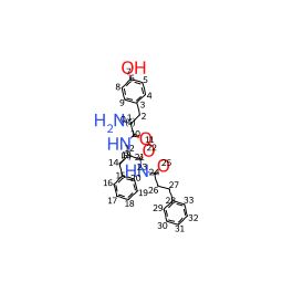 N[C@@H](Cc1ccc(O)cc1)C(=O)N[C@H](Cc1ccccc1)C(=O)NC(=O)CCc1ccccc1